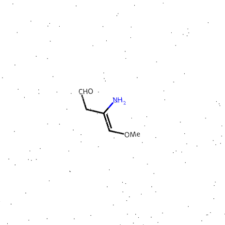 COC=C(N)CC=O